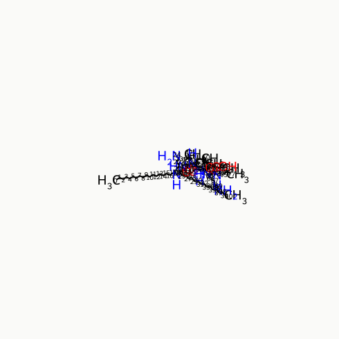 CCCCCCCCCCCCCCCCCCN[C@](CCCCN)(CCCCCCCCCCCCCCCC)C(=O)N[C@@H](CC(C)C)C(=O)N[C@@H](C)C(=O)N[C@@H](CC(C)C)C(=O)N[C@@H](CCCCN)C(=O)N[C@@H](CC(C)C)C(=O)O